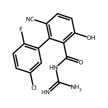 N#Cc1ccc(O)c(C(=O)NC(=N)N)c1-c1cc(Cl)ccc1F